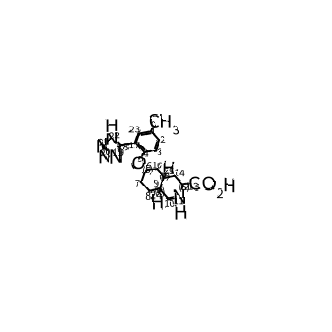 Cc1ccc(O[C@H]2CC[C@H]3CN[C@H](C(=O)O)C[C@H]3C2)c(-c2nnn[nH]2)c1